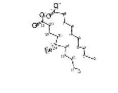 CCCCCCCCCC(=O)[O-].CCCCCCCCCC(=O)[O-].[Fe+2]